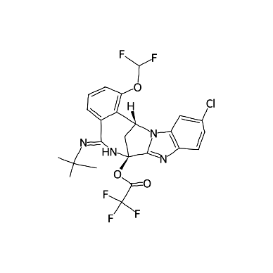 CC(C)(C)/N=C1\N[C@]2(OC(=O)C(F)(F)F)C[C@H](c3c(OC(F)F)cccc31)n1c2nc2ccc(Cl)cc21